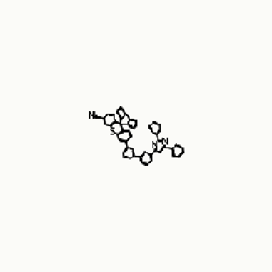 N#Cc1ccc2c(c1)Sc1cc(-c3cccc(-c4cccc(-c5cc(-c6ccccc6)nc(-c6ccccc6)n5)c4)c3)ccc1C21c2ccccc2-c2ccccc21